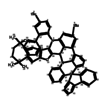 CC(C)(C)c1ccc(N2c3cc(C(C)(C)C)cc4c3B(c3oc5cc6c(cc5c32)C(C)(C)CCC6(C)C)N2c3ccccc3[Si]3(c5ccccc5-c5ccccc53)c3cccc-4c32)c(-c2ccccc2)c1